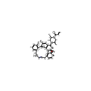 C=CC(=O)N1CC(C)N(c2nc(=O)n3c4nc(c(F)cc24)-c2c(F)cccc2CN/C=C/Cc2ccnc(C(C)C)c2-3)CC1C